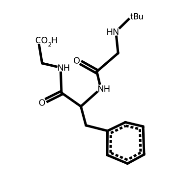 CC(C)(C)NCC(=O)NC(Cc1ccccc1)C(=O)NCC(=O)O